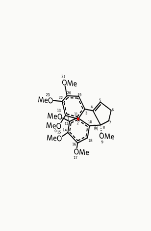 COc1cc(C2=CCC[C@@]2(OC)c2cc(OC)c(OC)c(OC)c2)cc(OC)c1OC